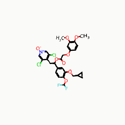 COc1ccc(OCC(=O)OC(Cc2c(Cl)c[n+]([O-])cc2Cl)c2ccc(OC(F)F)c(OCC3CC3)c2)cc1OC